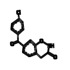 O=C1Cc2ccc(C(=O)c3ccc(Cl)cc3)cc2ON1